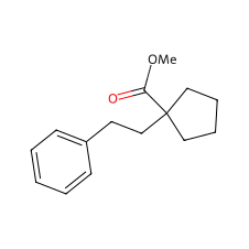 COC(=O)C1(CCc2ccccc2)CCCC1